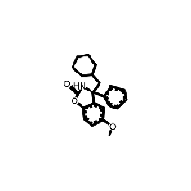 COc1ccc2c(c1)C(CC1CCCCC1)(c1ccccc1)NC(=O)O2